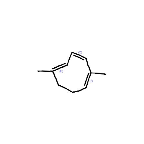 CC1=C/CC/C(C)=C/C=C\1